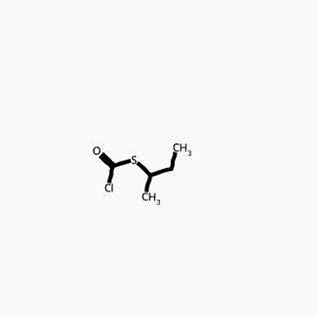 CCC(C)SC(=O)Cl